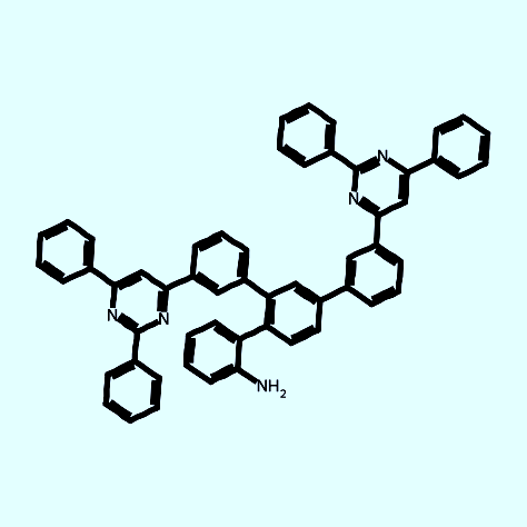 Nc1ccccc1-c1ccc(-c2cccc(-c3cc(-c4ccccc4)nc(-c4ccccc4)n3)c2)cc1-c1cccc(-c2cc(-c3ccccc3)nc(-c3ccccc3)n2)c1